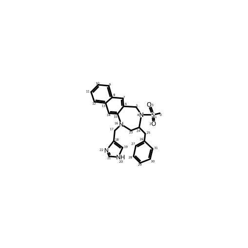 CS(=O)(=O)N1Cc2cc3ccccc3cc2N(Cc2c[nH]cn2)CC1Cc1ccccc1